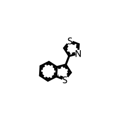 c1ccc2c(-c3cscn3)csc2c1